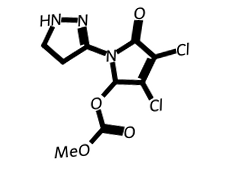 COC(=O)OC1C(Cl)=C(Cl)C(=O)N1C1=NNCC1